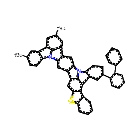 CC(C)(C)c1ccc2c(c1)c1cc(C(C)(C)C)cc3c4cc5c(cc4n2c13)c1cc2sc3ccccc3c2c2c3cc(-c4ccccc4-c4ccccc4)ccc3n5c12